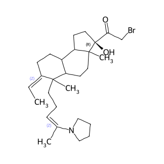 C/C=C1/CCC2C(CCC3(C)C2CC[C@]3(O)C(=O)CBr)C1(C)CC/C=C(/C)N1CCCC1